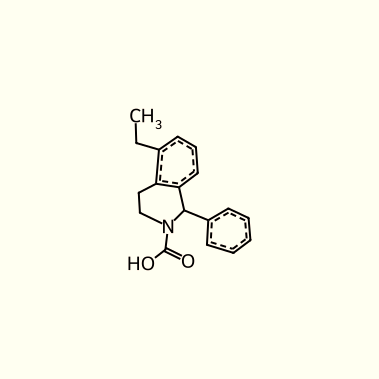 CCc1cccc2c1CCN(C(=O)O)C2c1ccccc1